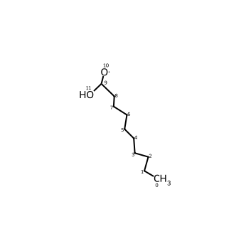 CCCCCCCCCC([O])O